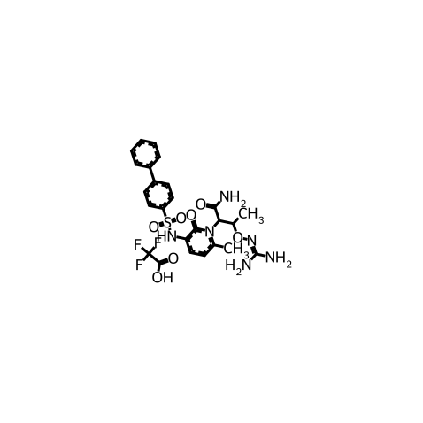 Cc1ccc(NS(=O)(=O)c2ccc(-c3ccccc3)cc2)c(=O)n1C(C(N)=O)C(C)ON=C(N)N.O=C(O)C(F)(F)F